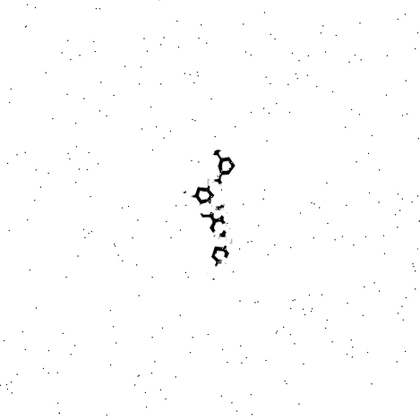 CCc1c2cnc(Nc3ccc(C)nc3)nc2nc(=O)n1-c1cc(NC(=O)c2cccc(C(F)(F)F)c2)cc(OC)c1